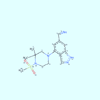 CC1(C)CN(c2cc(C=N)cc3[nH]ncc23)CCN1S(C)(=O)=O